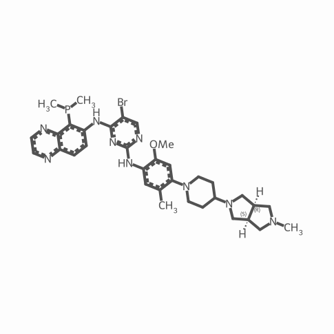 COc1cc(N2CCC(N3C[C@H]4CN(C)C[C@H]4C3)CC2)c(C)cc1Nc1ncc(Br)c(Nc2ccc3nccnc3c2P(C)C)n1